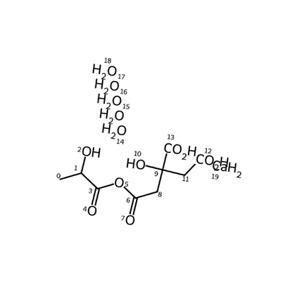 CC(O)C(=O)OC(=O)CC(O)(CC(=O)O)C(=O)O.O.O.O.O.O.[CaH2]